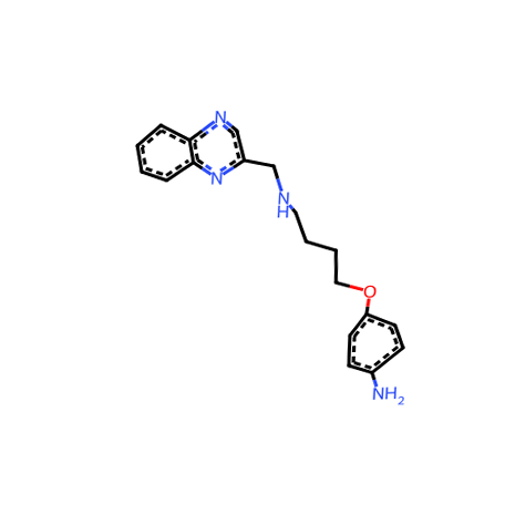 Nc1ccc(OCCCCNCc2cnc3ccccc3n2)cc1